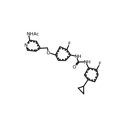 CC(=O)Nc1cc(COc2ccc(NC(=O)Nc3cc(C4CC4)ccc3F)c(F)c2)ccn1